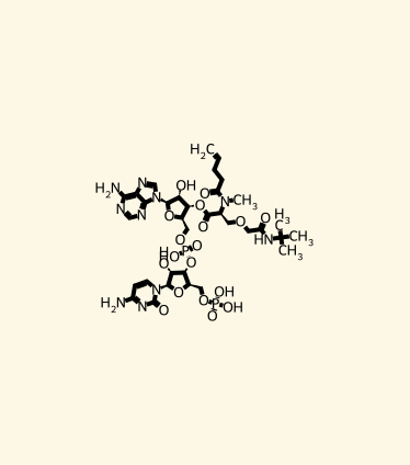 C=CCCC(=O)N(C)[C@@H](COCC(=O)NC(C)(C)C)C(=O)O[C@H]1[C@@H](O)[C@H](n2cnc3c(N)ncnc32)O[C@@H]1COP(=O)(O)O[C@H]1[C@@H](O)[C@H](n2ccc(N)nc2=O)O[C@@H]1COP(=O)(O)O